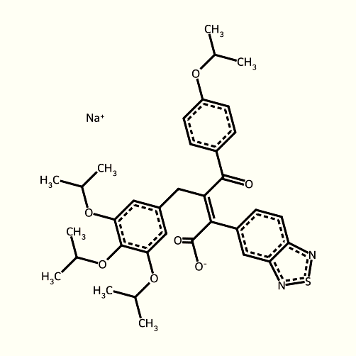 CC(C)Oc1ccc(C(=O)C(Cc2cc(OC(C)C)c(OC(C)C)c(OC(C)C)c2)=C(C(=O)[O-])c2ccc3nsnc3c2)cc1.[Na+]